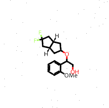 COc1ccccc1C(CO)OC1C[C@@H]2CC(F)(F)C[C@@H]2C1